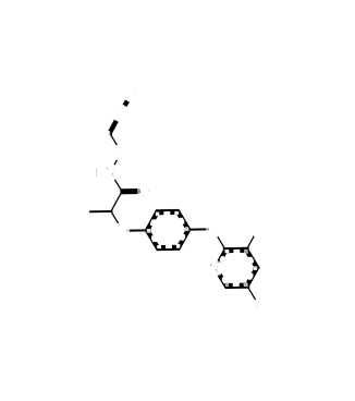 CC(Oc1ccc(Oc2ncc(Cl)cc2Cl)cc1)C(=O)NOC=C=O